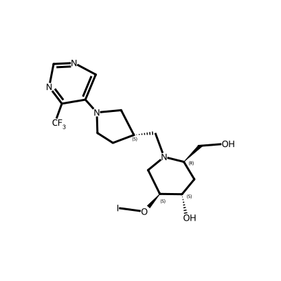 OC[C@H]1C[C@H](O)[C@@H](OI)CN1C[C@@H]1CCN(c2cncnc2C(F)(F)F)C1